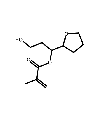 C=C(C)C(=O)OC(CCO)C1CCCO1